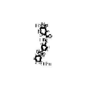 CC(C)COc1cccc(S(=O)(=O)c2ccc(CNC(=O)c3cnc4[nH]ncc4c3)cc2)c1